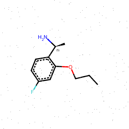 CCCOc1cc(F)ccc1[C@H](C)N